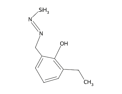 CCc1cccc(C/N=N/[SiH3])c1O